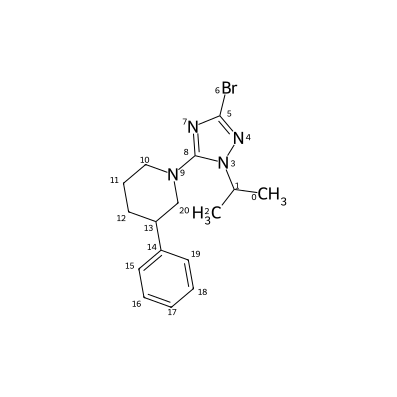 CC(C)n1nc(Br)nc1N1CCCC(c2ccccc2)C1